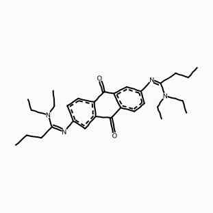 CCCC(=Nc1ccc2c(c1)C(=O)c1ccc(N=C(CCC)N(CC)CC)cc1C2=O)N(CC)CC